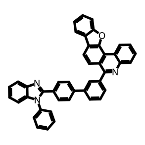 c1ccc(-n2c(-c3ccc(-c4cccc(-c5nc6ccccc6c6c5ccc5c7ccccc7oc56)c4)cc3)nc3ccccc32)cc1